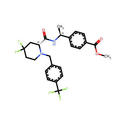 COC(=O)c1ccc([C@H](C)NC(=O)[C@H]2CC(F)(F)CCN2Cc2ccc(C(F)(F)F)cc2)cc1